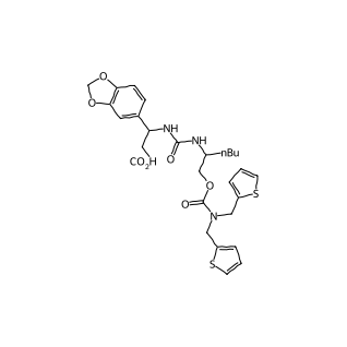 CCCCC(COC(=O)N(Cc1cccs1)Cc1cccs1)NC(=O)NC(CC(=O)O)c1ccc2c(c1)OCO2